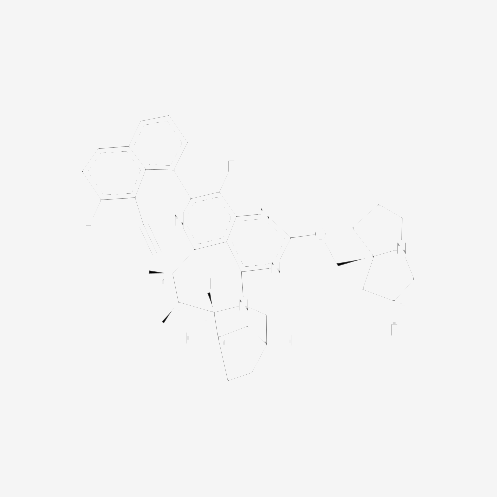 C#Cc1c(F)ccc2cccc(-c3nc4c5c(nc(OC[C@@]67CCCN6C[C@H](F)C7)nc5c3F)N3C[C@H]5CC[C@H](C5)[C@@H]3[C@@H](C)[C@H]4C)c12